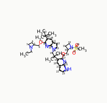 CCN1CCC1COc1nc2c(ccn2CC(C)(C)c2cc3cc[nH]c3nc2OCC2CCN2S(C)(=O)=O)cc1C(C)(C)C